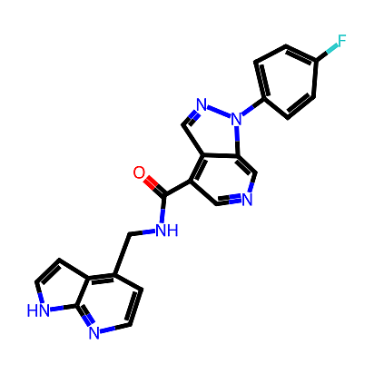 O=C(NCc1ccnc2[nH]ccc12)c1cncc2c1cnn2-c1ccc(F)cc1